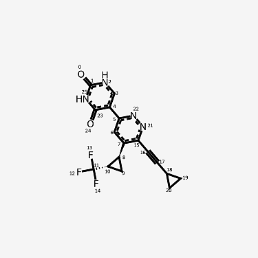 O=c1[nH]cc(-c2cc([C@H]3C[C@@H]3C(F)(F)F)c(C#CC3CC3)nn2)c(=O)[nH]1